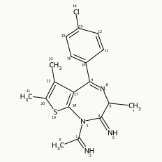 CC(=N)N1C(=N)C(C)N=C(c2ccc(Cl)cc2)c2c1sc(C)c2C